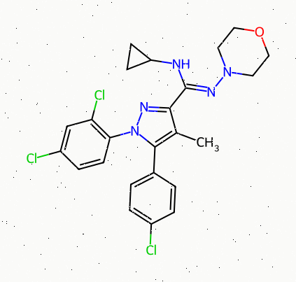 Cc1c(C(=NN2CCOCC2)NC2CC2)nn(-c2ccc(Cl)cc2Cl)c1-c1ccc(Cl)cc1